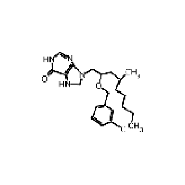 CCCCCC(C)CC(CN1CNc2c1nc[nH]c2=O)OCc1cccc(Cl)c1